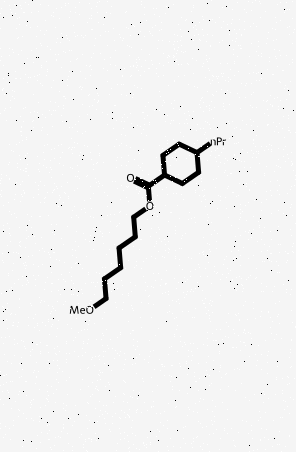 CCCC1CCC(C(=O)OCCCCCCOC)CC1